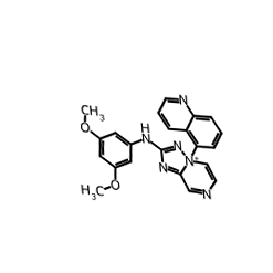 COc1cc(NC2=N[N+]3(c4cccc5ncccc45)C=CN=CC3=N2)cc(OC)c1